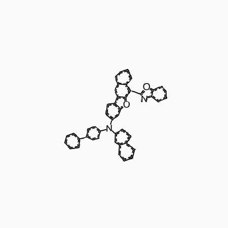 c1ccc(-c2ccc(N(c3ccc4ccccc4c3)c3ccc4c(c3)oc3c(-c5nc6ccccc6o5)c5ccccc5cc34)cc2)cc1